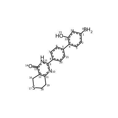 Bc1ccc(-c2ccc(-c3nc4c(c(=O)[nH]3)CSCC4)cc2)c(O)c1